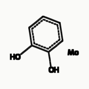 Oc1ccccc1O.[Mo]